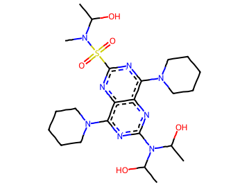 CC(O)N(c1nc(N2CCCCC2)c2nc(S(=O)(=O)N(C)C(C)O)nc(N3CCCCC3)c2n1)C(C)O